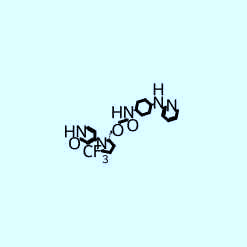 O=C(COC[C@@H]1CCCN1c1cc[nH]c(=O)c1C(F)(F)F)N[C@H]1CC[C@H](Nc2ccccn2)CC1